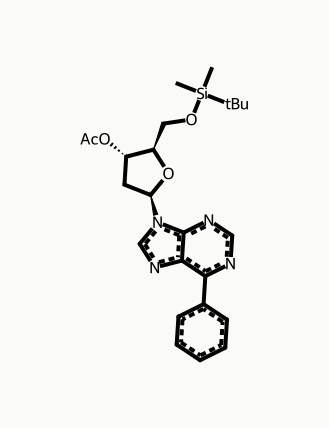 CC(=O)O[C@H]1C[C@H](n2cnc3c(-c4ccccc4)ncnc32)O[C@@H]1CO[Si](C)(C)C(C)(C)C